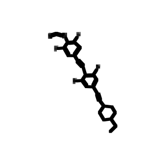 CCC1CCC(C#Cc2cc(F)c(C#Cc3cc(F)c(N=C=S)c(F)c3)c(F)c2)CC1